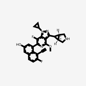 C#Cc1c(F)ccc2cc(O)cc(-c3nc(OC)c4c(C5[C@H]6CNC[C@@H]56)nn(C5CC5)c4c3F)c12